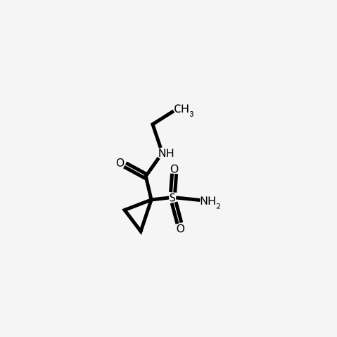 CCNC(=O)C1(S(N)(=O)=O)CC1